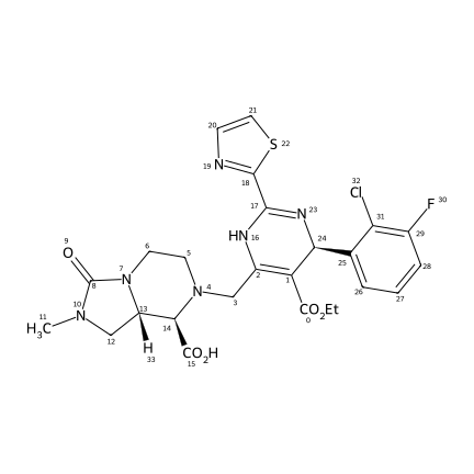 CCOC(=O)C1=C(CN2CCN3C(=O)N(C)C[C@H]3[C@@H]2C(=O)O)NC(c2nccs2)=N[C@H]1c1cccc(F)c1Cl